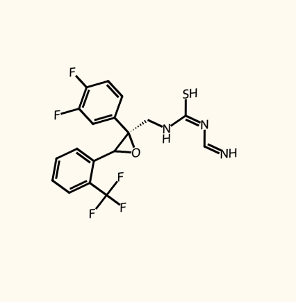 N=C/N=C(/S)NC[C@]1(c2ccc(F)c(F)c2)OC1c1ccccc1C(F)(F)F